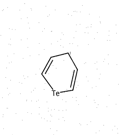 [C]1C=C[Te]C=C1